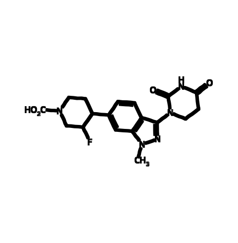 Cn1nc(N2CCC(=O)NC2=O)c2ccc(C3CCN(C(=O)O)CC3F)cc21